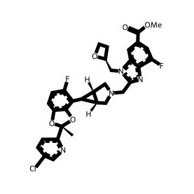 COC(=O)c1cc(F)c2nc(CN3C[C@@H]4C(c5c(F)ccc6c5O[C@](C)(c5ccc(Cl)cn5)O6)[C@@H]4C3)n(C[C@@H]3CCO3)c2c1